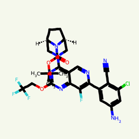 CC(C)(C)OC(=O)N1[C@@H]2CC[C@H]1CN(c1nc(OCC(F)(F)F)nc3c(F)c(-c4cc(N)cc(Cl)c4C#N)ncc13)C2